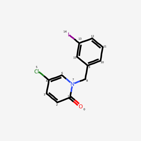 O=c1ccc(Cl)cn1Cc1cccc(I)c1